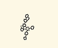 c1ccc(C2=NC(c3cc(-c4ccc5c(ccc6ccccc65)c4)cc4oc5ccccc5c34)NC(c3ccc(-c4ccccc4)cc3)=N2)cc1